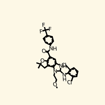 COCCN1c2c(cc(C(=O)Nc3ccc(C(F)(F)F)cc3)c3c2CC(C)(C)O3)NC1Nc1c(Cl)cccc1Cl